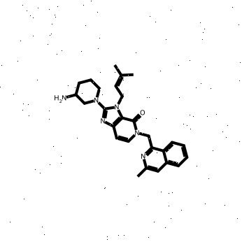 CC(C)=CCn1c(N2CCCC(N)C2)nc2ccn(Cc3nc(C)cc4ccccc34)c(=O)c21